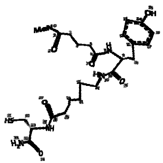 CNC(=O)CCCC(=O)N[C@@H](Cc1ccc(O)cc1)C(=O)NCCCCCC(=O)N[C@@H](CS)C(N)=O